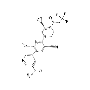 N#Cc1cc(-c2cncc(C(N)=O)c2)c(C2CC2)nc1N1CCN(C(=O)CC(F)(F)F)[C@H](C2CC2)C1